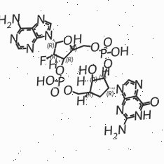 Nc1nc2c(ncn2[C@@H]2C[C@@H]3COP(=O)(O)O[C@H]4[C@@H](F)[C@H](n5cnc6c(N)ncnc65)O[C@@H]4COP(=O)(O)O[C@@H]2[C@@H]3O)c(=O)[nH]1